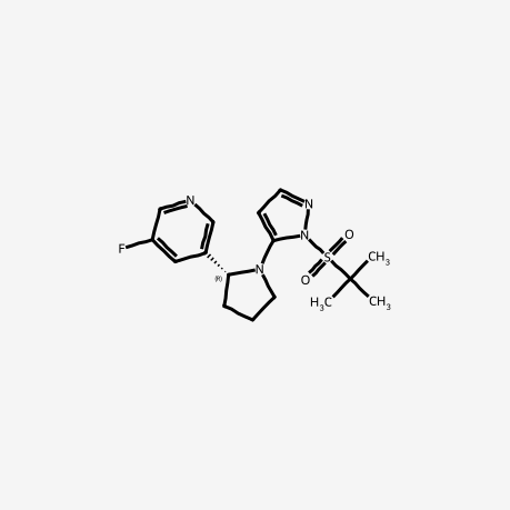 CC(C)(C)S(=O)(=O)n1nccc1N1CCC[C@@H]1c1cncc(F)c1